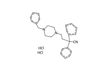 Cl.Cl.N#CC(CCN1CCN(Cc2ccccc2)CC1)(c1ccccc1)c1ccccc1